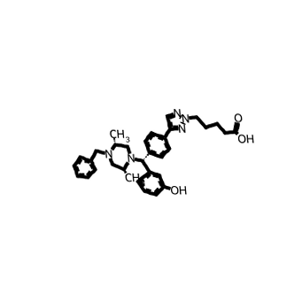 C[C@@H]1CN([C@H](c2ccc(-c3cnn(CCCCC(=O)O)n3)cc2)c2cccc(O)c2)[C@@H](C)CN1Cc1ccccc1